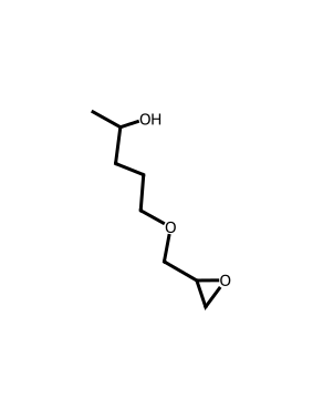 CC(O)CCCOCC1CO1